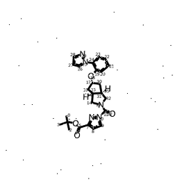 CC(C)(C)OC(=O)c1ccn(C(=O)N2C[C@H]3C[C@H](Oc4ccccc4-n4cccn4)C[C@H]3C2)n1